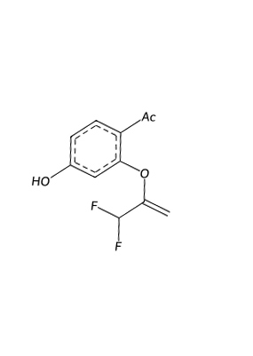 C=C(Oc1cc(O)ccc1C(C)=O)C(F)F